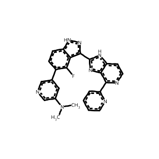 CN(C)c1cncc(-c2ccc3[nH]nc(-c4nc5c(-c6ccccn6)nccc5[nH]4)c3c2F)c1